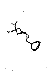 CN(C)C1(C#N)CC(OCc2ccccc2)C1